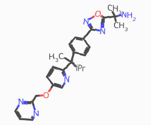 CC(C)C(C)(c1ccc(-c2noc(C(C)(C)N)n2)cc1)c1ccc(OCc2ncccn2)cn1